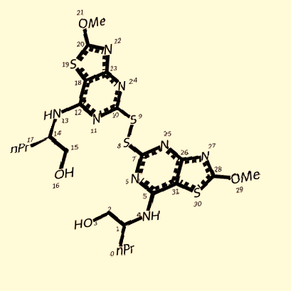 CCCC(CO)Nc1nc(SSc2nc(N[C@@H](CO)CCC)c3sc(OC)nc3n2)nc2nc(OC)sc12